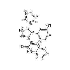 O=c1[nH]c2ccccc2c(-c2ccc(Cl)cc2)c1C1=NNC(c2cccnc2)C1